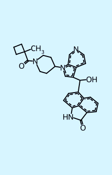 CC1(C(=O)N2CCC(n3cc(C(O)c4ccc5c6c(cccc46)C(=O)N5)c4ccncc43)CC2)CCC1